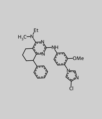 CCN(C)c1nc(Nc2ccc(-n3cnc(Cl)c3)c(OC)c2)nc2c1CCCC2c1ccccc1